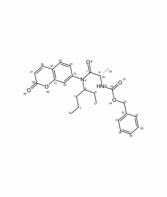 CCCC(CC)N(C(=O)[C@H](C)NC(=O)OCc1ccccc1)c1ccc2ccc(=O)oc2c1